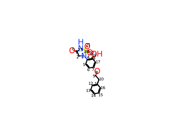 O=C1CN(c2ccc(OCCc3ccccc3)cc2O)S(=O)(=O)N1